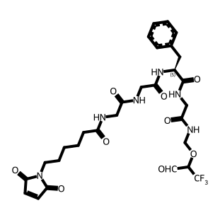 O=CC(OCNC(=O)CNC(=O)[C@H](Cc1ccccc1)NC(=O)CNC(=O)CNC(=O)CCCCCN1C(=O)C=CC1=O)C(F)(F)F